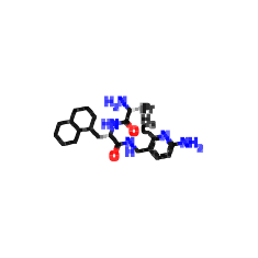 Cc1nc(N)ccc1CNC(=O)[C@H](CC1CCCC2CCCCC21)NC(=O)[C@H](N)C(C)C